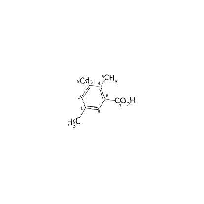 Cc1ccc(C)c(C(=O)O)c1.[Cd]